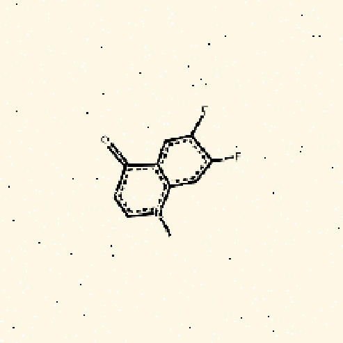 Cn1ccc(=O)c2cc(F)c(F)cc21